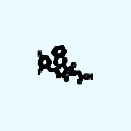 O=C(O)CNC(=O)C1C(=O)N=C(Cc2ccc(F)cc2F)N(Cc2ccccc2)C1=O